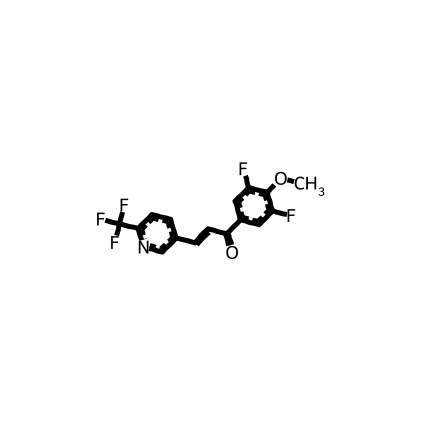 COc1c(F)cc(C(=O)/C=C/c2ccc(C(F)(F)F)nc2)cc1F